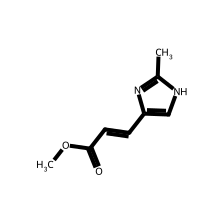 COC(=O)C=Cc1c[nH]c(C)n1